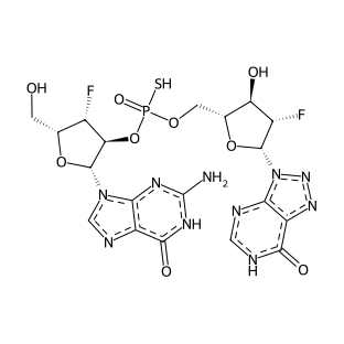 Nc1nc2c(ncn2[C@@H]2O[C@H](CO)[C@H](F)[C@H]2OP(=O)(S)OC[C@H]2O[C@@H](n3nnc4c(=O)[nH]cnc43)[C@@H](F)[C@@H]2O)c(=O)[nH]1